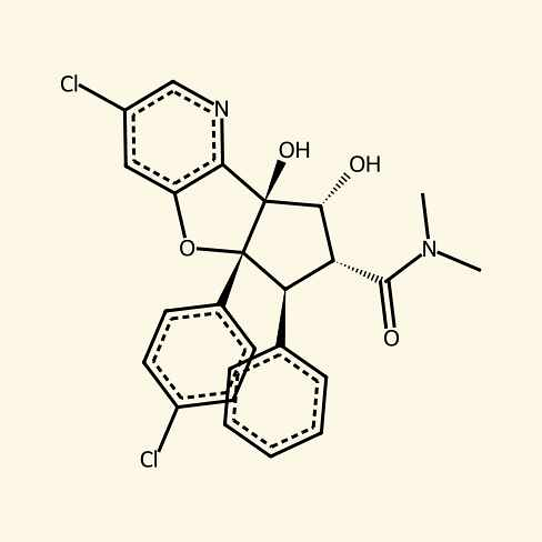 CN(C)C(=O)[C@H]1[C@@H](O)[C@@]2(O)c3ncc(Cl)cc3O[C@@]2(c2ccc(Cl)cc2)[C@@H]1c1ccccc1